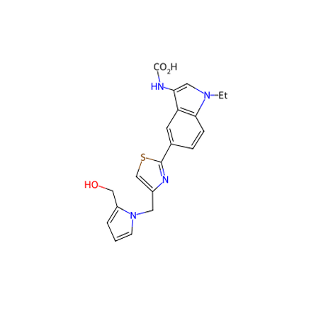 CCn1cc(NC(=O)O)c2cc(-c3nc(Cn4cccc4CO)cs3)ccc21